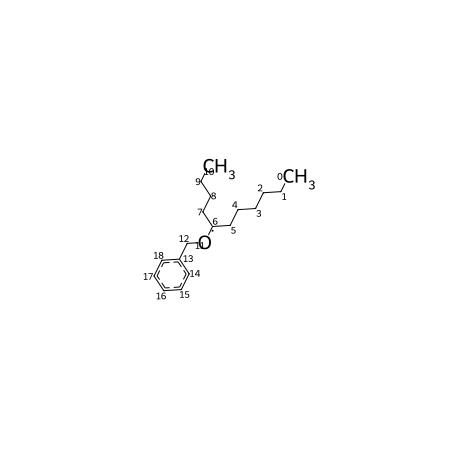 CCCCCC[C](CCCC)OCc1ccccc1